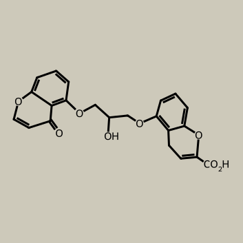 O=C(O)C1=CCc2c(OCC(O)COc3cccc4occc(=O)c34)cccc2O1